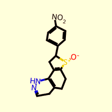 O=[N+]([O-])c1ccc(C2CC3=C(CCC4=C3NN=CC4)[S+]2[O-])cc1